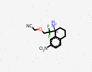 N#CCOCC(F)(F)[C@]1(N)CCCc2ccc([N+](=O)[O-])cc21